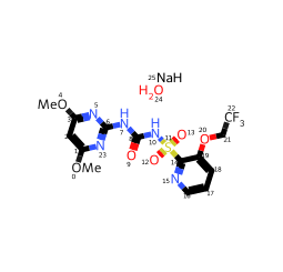 COc1cc(OC)nc(NC(=O)NS(=O)(=O)c2ncccc2OCC(F)(F)F)n1.O.[NaH]